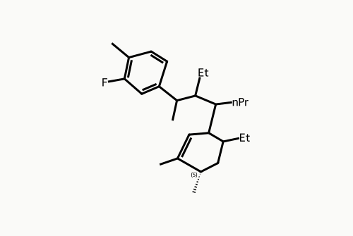 CCCC(C1C=C(C)[C@@H](C)CC1CC)C(CC)C(C)c1ccc(C)c(F)c1